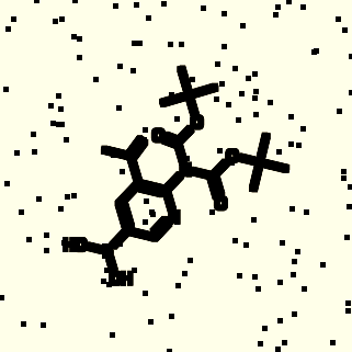 C=C(C)c1cc(B(O)O)cnc1N(C(=O)OC(C)(C)C)C(=O)OC(C)(C)C